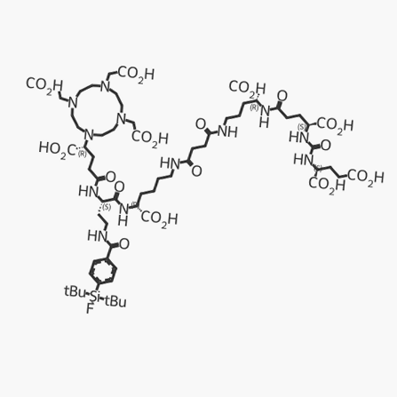 CC(C)(C)[Si](F)(c1ccc(C(=O)NCC[C@H](NC(=O)CC[C@H](C(=O)O)N2CCN(CC(=O)O)CCN(CC(=O)O)CCN(CC(=O)O)CC2)C(=O)N[C@H](CCCCNC(=O)CCC(=O)NCCC[C@@H](NC(=O)CC[C@H](NC(=O)N[C@@H](CCC(=O)O)C(=O)O)C(=O)O)C(=O)O)C(=O)O)cc1)C(C)(C)C